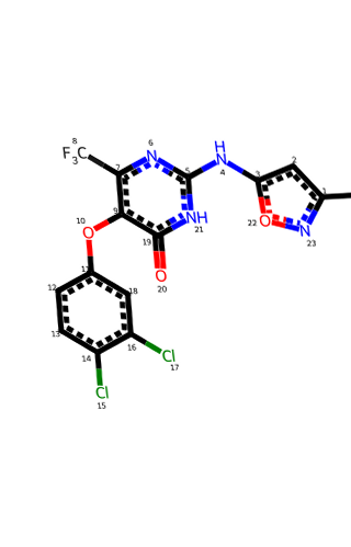 Cc1cc(Nc2nc(C(F)(F)F)c(Oc3ccc(Cl)c(Cl)c3)c(=O)[nH]2)on1